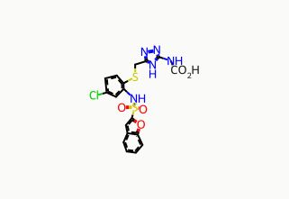 O=C(O)Nc1nnc(CSc2ccc(Cl)cc2NS(=O)(=O)c2cc3ccccc3o2)[nH]1